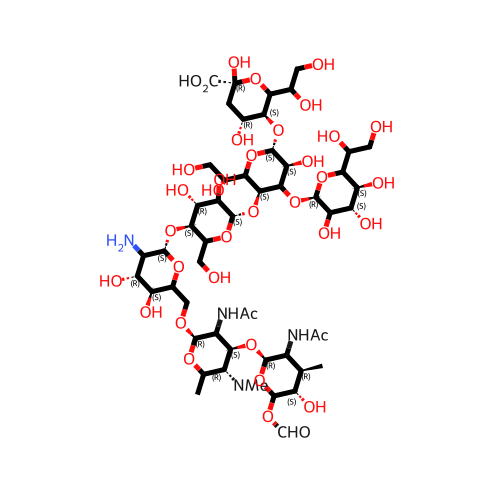 CN[C@@H]1C(C)O[C@@H](OCC2O[C@@H](O[C@@H]3C(CO)O[C@@H](O[C@H]4C(C(O)CO)O[C@H](O[C@@H]5C(C(O)CO)O[C@@](O)(C(=O)O)C[C@H]5O)[C@@H](O)C4O[C@H]4OC(C(O)CO)[C@@H](O)[C@H](O)C4O)C(O)[C@H]3O)C(N)[C@@H](O)[C@@H]2O)C(NC(C)=O)[C@H]1O[C@@H]1OC(OC=O)[C@@H](O)[C@H](C)C1NC(C)=O